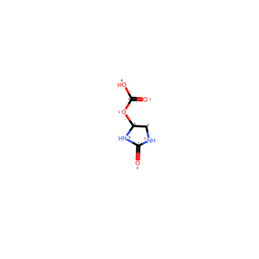 O=C1NCC(OC(=O)O)N1